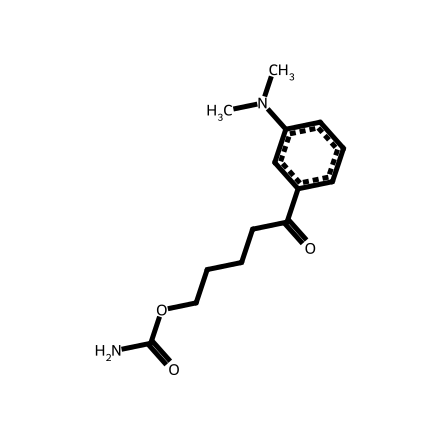 CN(C)c1cccc(C(=O)CCCCOC(N)=O)c1